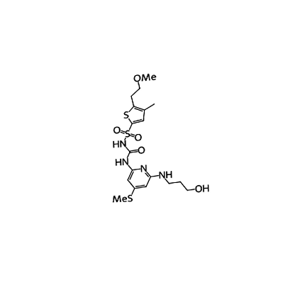 COCCc1sc(S(=O)(=O)NC(=O)Nc2cc(SC)cc(NCCCO)n2)cc1C